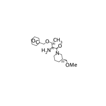 COC[C@H]1CCCN(C(=O)[C@H](N)[C@@H](C)OCC23CCC(CC2)OC3)C1